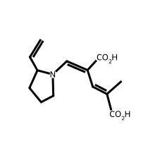 C=CC1CCCN1C=C(C=C(C)C(=O)O)C(=O)O